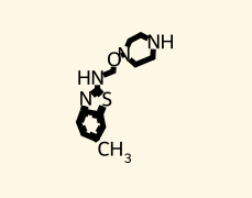 Cc1ccc2nc(NCON3CCNCC3)sc2c1